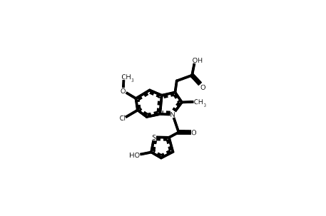 COc1cc2c(CC(=O)O)c(C)n(C(=O)c3ccc(O)s3)c2cc1Cl